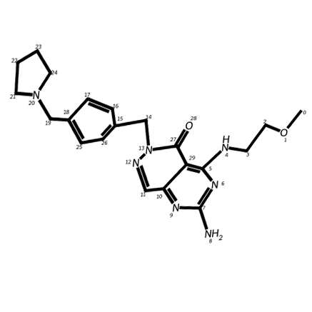 COCCNc1nc(N)nc2cnn(Cc3ccc(CN4CCCC4)cc3)c(=O)c12